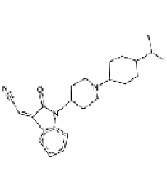 CC(C)C1CCC(N2CCC(N3C(=O)/C(=C\C#N)c4ccccc43)CC2)CC1